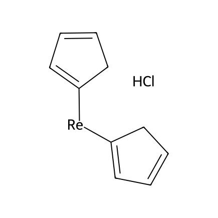 C1=CC[C]([Re][C]2=CC=CC2)=C1.Cl